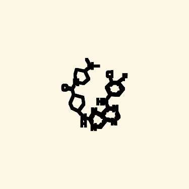 CN(C)C1CCN(C(=O)C2CCC(Nc3ncc4ncnc(Nc5ccc(F)c(Cl)c5)c4n3)CC2)CC1